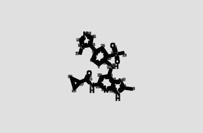 Cc1nc2c(Nc3ccc(-c4cncn4C)cc3S(C)(=O)=O)cc(NC(=O)C3CC3)nc2[nH]1